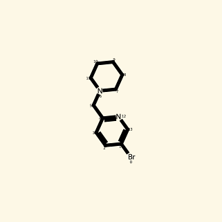 Brc1ccc(CN2CCCCC2)nc1